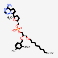 CCCCCCCCCCCCCCCCCCOC[C@H](COP(=O)(O)OC[C@@H]1CC[C@](C)(c2ccc3c(N)ncnn23)O1)OCc1ccc(C#N)cc1OC